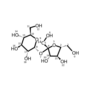 OC[C@H]1O[C@@]([14CH2]O)(O[C@H]2O[C@H](CO)[C@@H](O)[C@H](O)[C@H]2O)[C@@H](O)[C@@H]1O